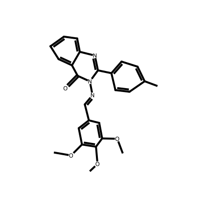 COc1cc(/C=N/n2c(-c3ccc(C)cc3)nc3ccccc3c2=O)cc(OC)c1OC